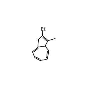 CCC1=C(C)C2C=CC=CC=C2[C]1